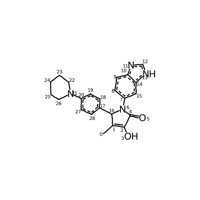 CC1=C(O)C(=O)N(c2ccc3nc[nH]c3c2)C1c1ccc(N2CCCCC2)cc1